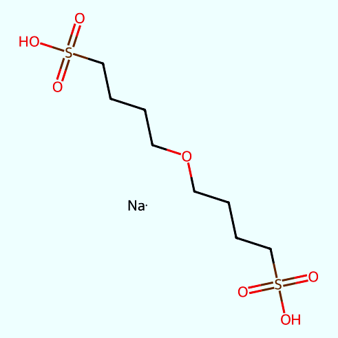 O=S(=O)(O)CCCCOCCCCS(=O)(=O)O.[Na]